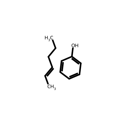 CC=CCCC.Oc1ccccc1